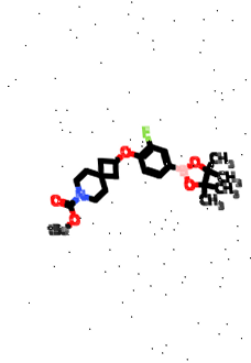 CC(C)(C)OC(=O)N1CCC2(CC1)CC(Oc1ccc(B3OC(C)(C)C(C)(C)O3)cc1F)C2